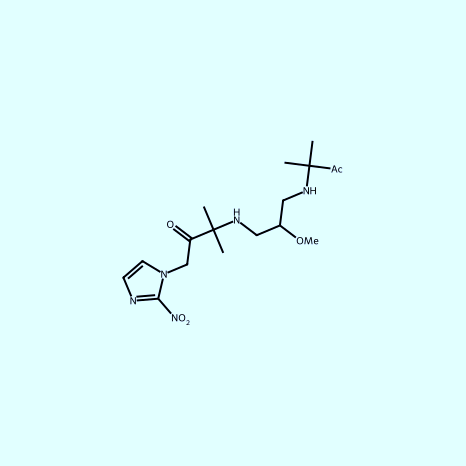 COC(CNC(C)(C)C(C)=O)CNC(C)(C)C(=O)Cn1ccnc1[N+](=O)[O-]